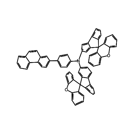 c1ccc2c(c1)Oc1ccccc1C21c2ccccc2-c2ccc(N(c3ccc(-c4ccc5c(ccc6ccccc65)c4)cc3)c3ccc4c(c3)C3(c5ccccc5Oc5ccccc53)c3ccccc3-4)cc21